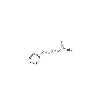 CCCC[SiH](F)CC=CCc1ccccc1